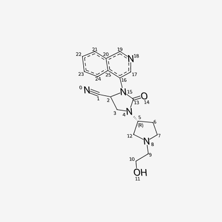 N#CC1CN([C@@H]2CCN(CCO)C2)C(=O)N1c1cncc2ccccc12